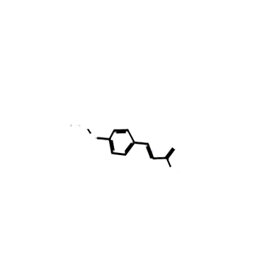 CCCCCOc1ccc(/C=C/C(=O)C(C)(C)C)cc1